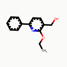 CCOc1nc(-c2ccccc2)ccc1CO